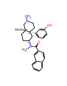 CO[C@]12CC[C@H](N(C)C(=O)c3ccc4ccccc4c3)C[C@]1(c1cccc(O)c1)CCN(C)C2